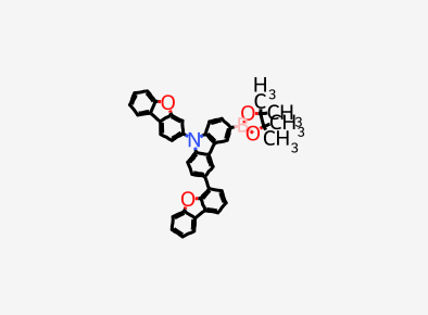 CC1(C)OB(c2ccc3c(c2)c2cc(-c4cccc5c4oc4ccccc45)ccc2n3-c2ccc3c(c2)oc2ccccc23)OC1(C)C